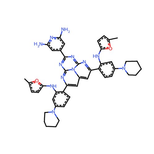 Cc1ccc(Nc2cc(N3CCCCC3)ccc2C2=CC3=CC(c4ccc(N5CCCCC5)cc4Nc4ccc(C)o4)=NC4=NC(c5cc(N)nc(N)c5)=NC(=N2)N34)o1